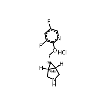 Cl.Fc1cnc(OC[C@@H]2[C@@H]3CNC[C@@H]32)c(F)c1